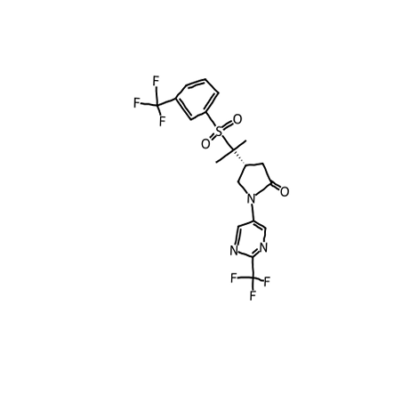 CC(C)([C@@H]1CC(=O)N(c2cnc(C(F)(F)F)nc2)C1)S(=O)(=O)c1cccc(C(F)(F)F)c1